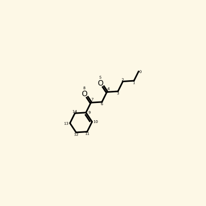 CCCCC(=O)CC(=O)C1=CCCCC1